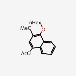 CCCCCCOc1c(OC)cc(OC(C)=O)c2ccccc12